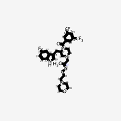 C/C(CN1CCN(C(=O)c2cc(C(F)(F)F)cc(C(F)(F)F)c2)C(Cc2c[nH]c3ccc(F)cc23)C1)=N\OCCN1CCOCC1